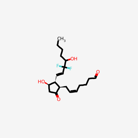 CCCCC(O)C(F)(F)/C=C/[C@H]1[C@H](O)CC(=O)[C@@H]1C/C=C\CCCC=O